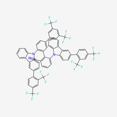 N#Cc1cccc(-n2c3ccccc3c3cc(-c4ccc(C(F)(F)F)cc4C(F)(F)F)ccc32)c1-c1cc(-c2cc(C(F)(F)F)cc(C(F)(F)F)c2)ccc1-n1c2ccccc2c2cc(-c3ccc(C(F)(F)F)cc3C(F)(F)F)ccc21